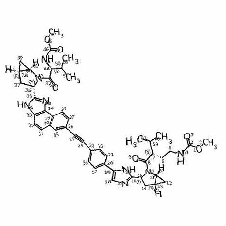 COC(=O)NCC[C@H](C(=O)N1[C@@H]2C[C@@H]2C[C@H]1c1ncc(-c2ccc(C#Cc3ccc4c(ccc5[nH]c([C@@H]6C[C@H]7C[C@H]7N6C(=O)[C@@H](NC(=O)OC)C(C)C)nc54)c3)cc2)[nH]1)C(C)C